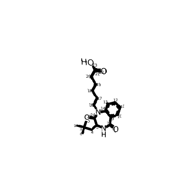 CC(C)(C)CC1NC(=O)c2ccccc2N(CCCCCC(=O)O)C1=O